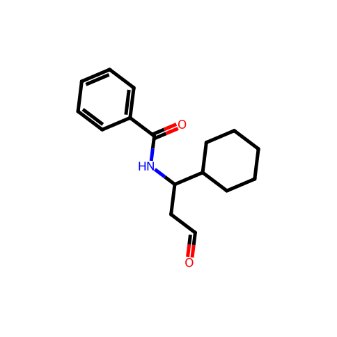 O=CCC(NC(=O)c1ccccc1)C1CCCCC1